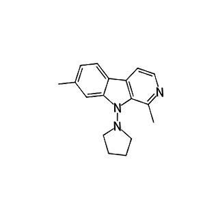 Cc1ccc2c3ccnc(C)c3n(N3CCCC3)c2c1